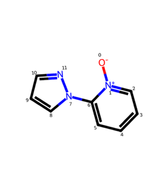 [O-][n+]1ccccc1-n1cccn1